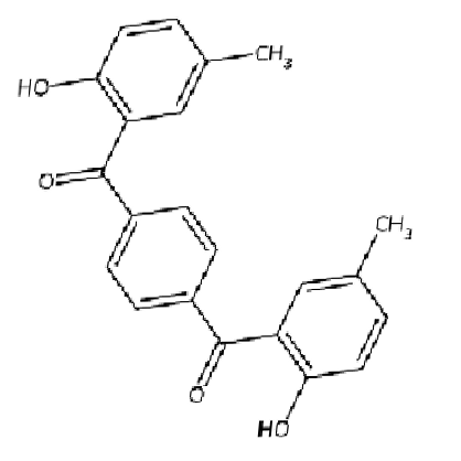 Cc1ccc(O)c(C(=O)c2ccc(C(=O)c3cc(C)ccc3O)cc2)c1